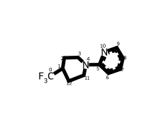 FC(F)(F)C1CCN(c2[c]cccn2)CC1